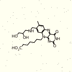 Cc1cc2nc3c(=O)[nH]c(=O)nc-3n(CCCCCCC(=O)O)c2cc1CNCC(O)CO